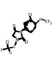 O=C1CN(SC(F)(Cl)Cl)C(=O)N1c1ccc(OC(F)(F)F)c(Cl)c1